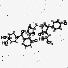 O=C(c1cccc(Cl)c1-n1cnc(Cn2nc(-c3ccc(Cl)cc3)n(C[C@H](O)C(F)(F)F)c2=O)n1)N1CCS(O)(O)CC1